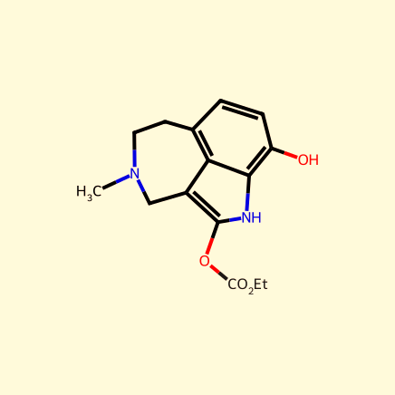 CCOC(=O)Oc1[nH]c2c(O)ccc3c2c1CN(C)CC3